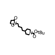 CC(C)(C)OC(=O)N1CCC(CCCCN2OCCC2=O)CC1